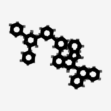 c1ccc(-c2nc(-c3ccccc3)nc(-c3cccc(-c4cccc(-c5cccc6nc(-c7cc8ccccc8c8ccccc78)c7oc8ccccc8c7c56)c4)c3)n2)cc1